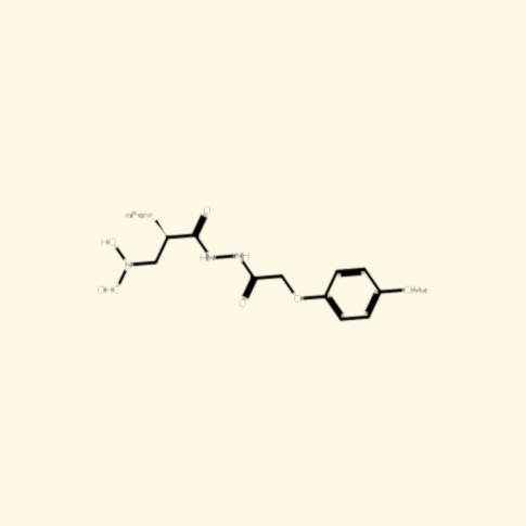 CCCCC[C@H](CN(O)C=O)C(=O)NNC(=O)COc1ccc(OC)cc1